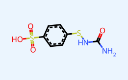 NC(=O)NSc1ccc(S(=O)(=O)O)cc1